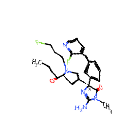 CCC(=O)C1CC([C@]2(c3cccc(-c4cccnc4F)c3)N=C(N)N(C)C2=O)CN1CCCF